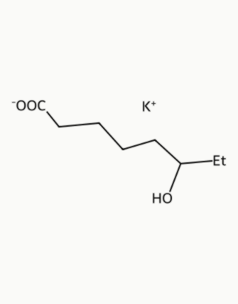 CCC(O)CCCCC(=O)[O-].[K+]